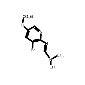 CCOC(=O)Oc1cnc(N=CN(C)C)c(Br)c1